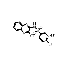 Cc1ccc(S(=O)(=O)Nc2nc3ccccc3nc2Cl)c[n+]1[O-]